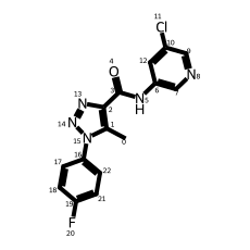 Cc1c(C(=O)Nc2cncc(Cl)c2)nnn1-c1ccc(F)cc1